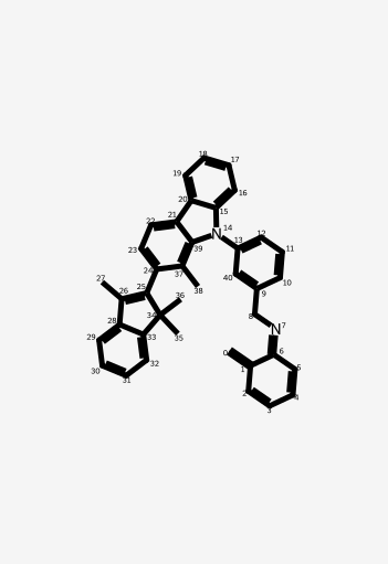 C=C1C=CC=C/C1=N/Cc1cccc(-n2c3ccccc3c3ccc(C4=C(C)c5ccccc5C4(C)C)c(C)c32)c1